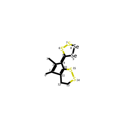 CC1=C(C)C(=C2SS[Se][Se]2)C2=C1CCSS2